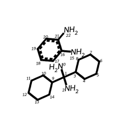 NC(N)(C1CCCCC1)C1CCCCC1.Nc1ccccc1N